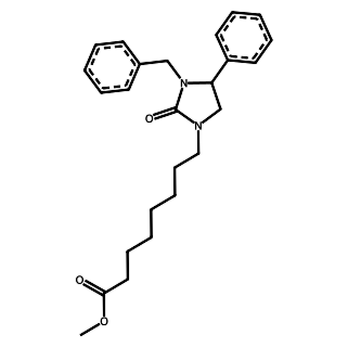 COC(=O)CCCCCCCN1CC(c2ccccc2)N(Cc2ccccc2)C1=O